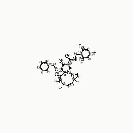 C[C@H]1/C=C\C(C)(C)Nn2cc(C(=O)NCc3c(F)cc(F)cc3F)c(=O)c(OCc3ccccc3)c2C(=O)N1C